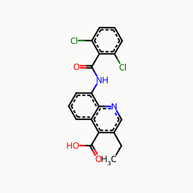 CCc1cnc2c(NC(=O)c3c(Cl)cccc3Cl)cccc2c1C(=O)O